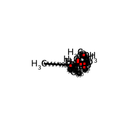 CCCCCCCCCCCCCCCC(=O)OC(C(=O)OC1CC2(O)C(OC(=O)c3ccccc3)C3C4(OC(C)=O)COC4CC(O)C3(C)C(=O)C(OC(C)=O)C(=C1C)C2(C)C)C(NC(=O)c1ccccc1)c1ccccc1